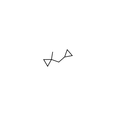 CC1(C[C]2CC2)CC1